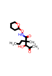 CCCC(C)(C(=O)NOC1CCCCO1)C(O)C(C)=O